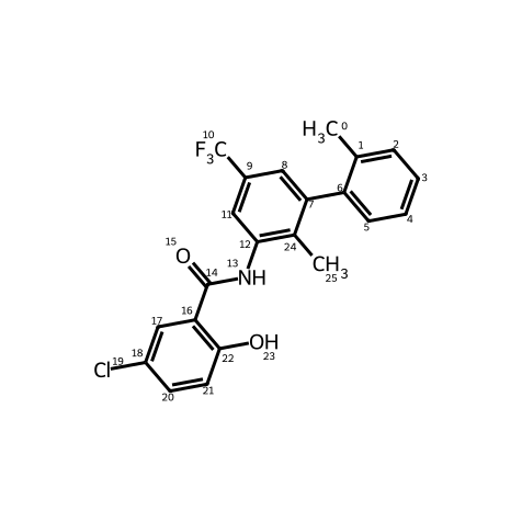 Cc1ccccc1-c1cc(C(F)(F)F)cc(NC(=O)c2cc(Cl)ccc2O)c1C